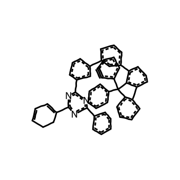 c1cccc(C2(c3ccccc3)c3ccccc3-c3cccc(-c4cccc(-c5cccc(-c6nc(C7=CC=CCC7)nc(-c7ccccc7)n6)c5)c4)c32)c#1